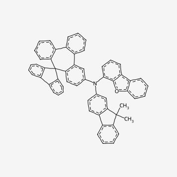 CC1(C)c2ccccc2-c2ccc(N(c3ccc4c(c3)-c3ccccc3-c3ccccc3C43c4ccccc4-c4ccccc43)c3cccc4c3oc3ccccc34)cc21